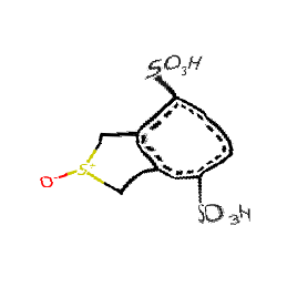 O=S(=O)(O)c1ccc(S(=O)(=O)O)c2c1C[S+]([O-])C2